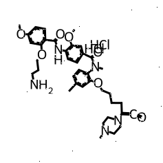 COc1ccc(C(=O)Nc2ccc(C(=O)N(C)c3ccc(C)cc3OCCCCC(=C=O)N3CCN(C)CC3)cc2OC)c(OCCCN)c1.Cl.Cl